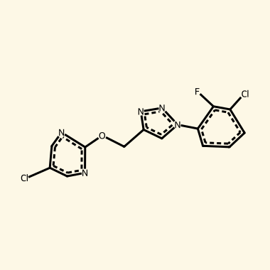 Fc1c(Cl)cccc1-n1cc(COc2ncc(Cl)cn2)nn1